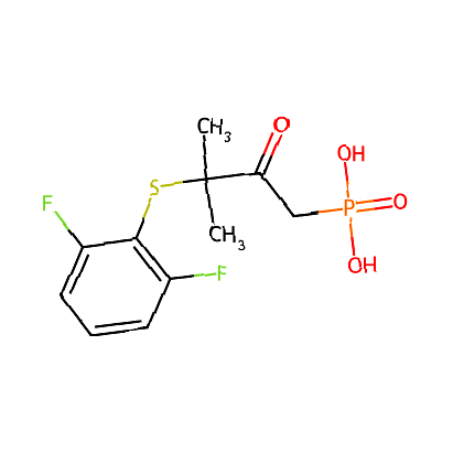 CC(C)(Sc1c(F)cccc1F)C(=O)CP(=O)(O)O